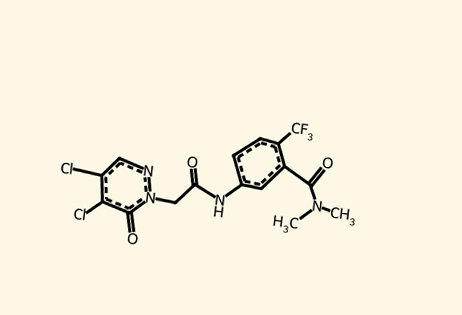 CN(C)C(=O)c1cc(NC(=O)Cn2ncc(Cl)c(Cl)c2=O)ccc1C(F)(F)F